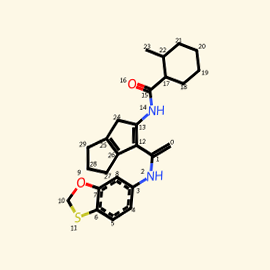 C=C(Nc1ccc2c(c1)OCS2)C1=C(NC(=O)C2CCCCC2C)CC2=C1CCC2